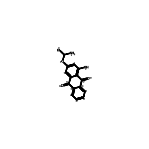 CCC(N)Oc1cc(O)c2c(c1)C(=O)c1ccccc1C2=O